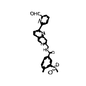 Cc1ccc(C(=O)NCc2cc3nc(-c4cccc(C=O)n4)ccc3cn2)cc1S(C)(=O)=O